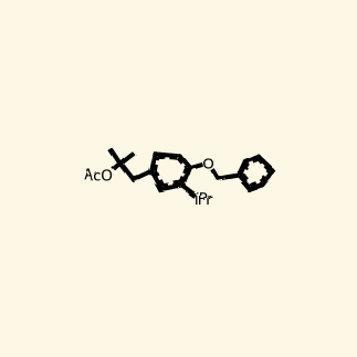 CC(=O)OC(C)(C)Cc1ccc(OCc2ccccc2)c(C(C)C)c1